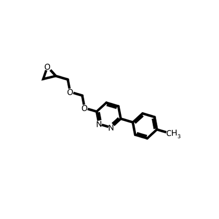 Cc1ccc(-c2ccc(OCOCC3CO3)nn2)cc1